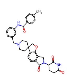 Cc1ccc(C(=O)Nc2cccc(CN3CCC4(CC3)COc3c4ccc4c3CN(C3CCC(=O)NC3=O)C4=O)c2)cc1